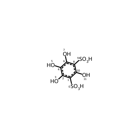 O=S(=O)(O)c1c(O)c(O)c(O)c(S(=O)(=O)O)c1O